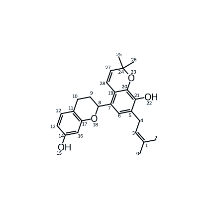 CC(C)=CCc1cc(C2CCc3ccc(O)cc3O2)c2c(c1O)OC(C)(C)C=C2